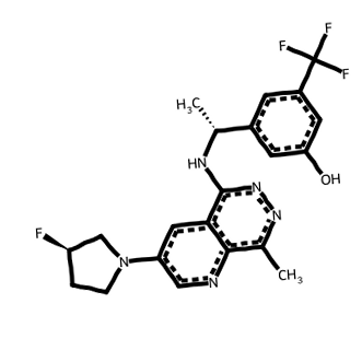 Cc1nnc(N[C@H](C)c2cc(O)cc(C(F)(F)F)c2)c2cc(N3CC[C@@H](F)C3)cnc12